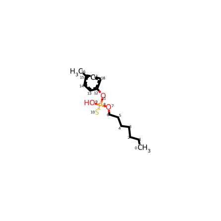 CCCCCCCOP(O)(=S)Oc1ccc(C)cc1